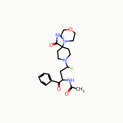 CC(=O)NC(CC(F)N1CCC(C(N)=O)(N2CCOCC2)CC1)C(=O)c1ccccc1